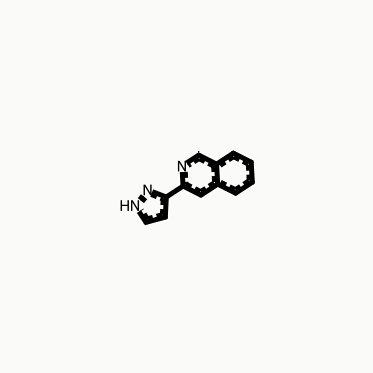 [c]1nc(-c2cc[nH]n2)cc2ccccc12